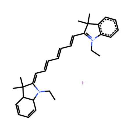 CCN1C(=CC=CC=CC=CC2=[N+](CC)c3ccccc3C2(C)C)C(C)(C)C2C=CC=CC21.[I-]